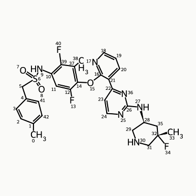 Cc1ccc(CS(=O)(=O)Nc2cc(F)c(Oc3ncccc3-c3ccnc(N[C@@H]4CNC[C@@](C)(F)C4)n3)c(C)c2F)cc1